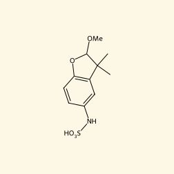 COC1Oc2ccc(NS(=O)(=O)O)cc2C1(C)C